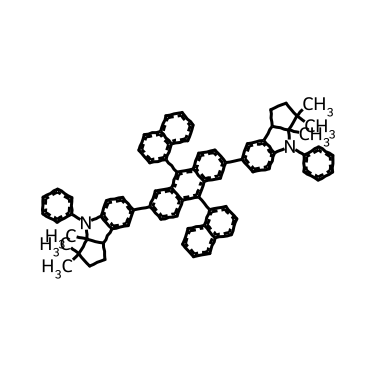 CC1(C)CCC2c3cc(-c4ccc5c(-c6cccc7ccccc67)c6cc(-c7ccc8c(c7)C7CCC(C)(C)C7(C)N8c7ccccc7)ccc6c(-c6cccc7ccccc67)c5c4)ccc3N(c3ccccc3)C21C